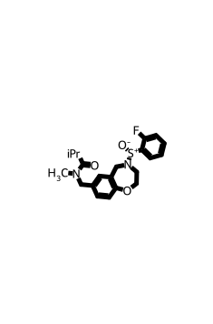 CC(C)C(=O)N(C)Cc1ccc2c(c1)CN([S+]([O-])c1ccccc1F)CCO2